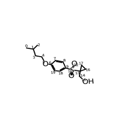 CC(C)CCOc1ccc(S(=O)(=O)C2(CO)CC2)cc1